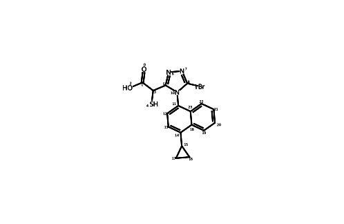 O=C(O)C(S)c1nnc(Br)n1-c1ccc(C2CC2)c2ccccc12